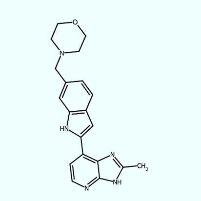 Cc1nc2c(-c3cc4ccc(CN5CCOCC5)cc4[nH]3)ccnc2[nH]1